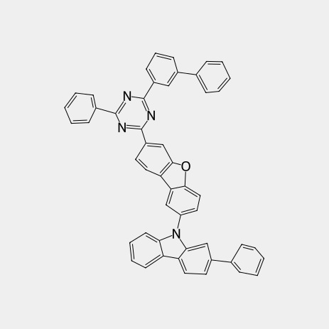 c1ccc(-c2cccc(-c3nc(-c4ccccc4)nc(-c4ccc5c(c4)oc4ccc(-n6c7ccccc7c7ccc(-c8ccccc8)cc76)cc45)n3)c2)cc1